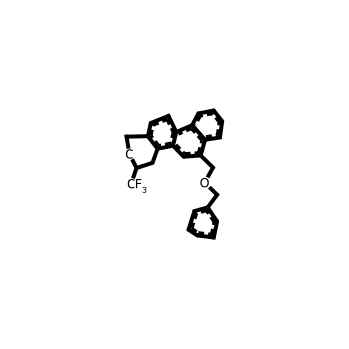 FC(F)(F)C1CCc2ccc3c(cc(COCc4ccccc4)c4ccccc43)c2C1